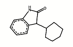 O=C1Nc2ccccc2C1C1CCCCC1